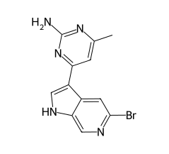 Cc1cc(-c2c[nH]c3cnc(Br)cc23)nc(N)n1